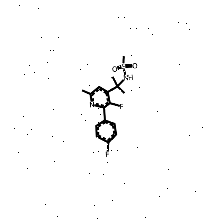 Cc1cc(C(C)(C)NS(C)(=O)=O)c(F)c(-c2ccc(F)cc2)n1